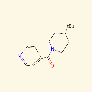 CC(C)(C)C1CCN(C(=O)c2ccncc2)CC1